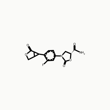 NC(=O)[C@H]1CN(c2ccc(C3C4COC(=O)C43)c(F)c2)C(=O)O1